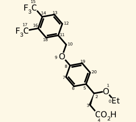 CCO[C@@H](CC(=O)O)c1ccc(OCc2ccc(C(F)(F)F)c(C(F)(F)F)c2)cc1